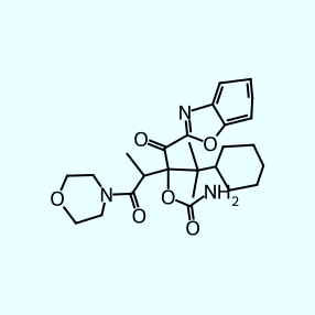 CC(C(=O)N1CCOCC1)C(OC(N)=O)(C(=O)c1nc2ccccc2o1)C(C)(C)C1CCCCC1